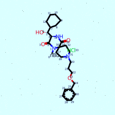 CCCCN1C(=O)[C@@H]([C@H](O)C2CCCCC2)NC(=O)C12CCN(CCCOCc1ccccc1)CC2.Cl